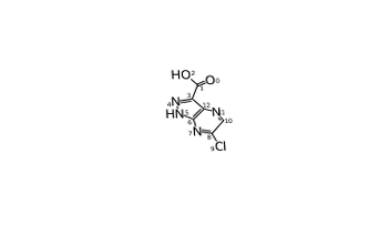 O=C(O)c1n[nH]c2nc(Cl)cnc12